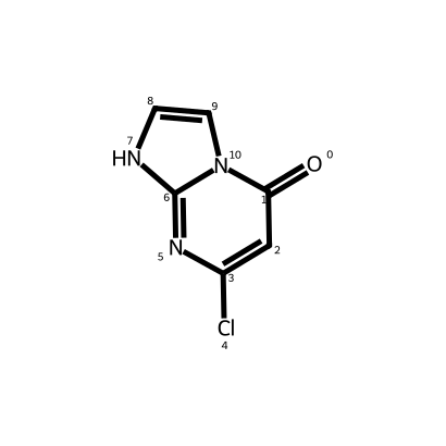 O=c1cc(Cl)nc2[nH]ccn12